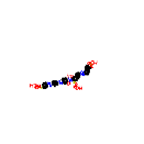 COc1cc(N=Nc2ccc(N=Nc3ccc(SOOO)cc3)cc2)c(C)cc1N=Nc1c(SOOO)cc2cc(-n3nc4ccc5cc(S(=O)(=O)O)ccc5c4n3)ccc2c1O